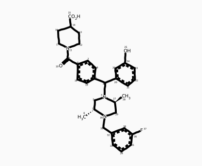 C[C@@H]1CN(C(c2ccc(C(=O)N3CCC(C(=O)O)CC3)cc2)c2cccc(O)c2)[C@@H](C)CN1Cc1cccc(F)c1